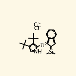 C[Si](C)=C1C=c2ccccc2=[C]1[Ti+2][c]1[nH]cc(C(C)(C)C)c1C(C)(C)C.[Cl-].[Cl-]